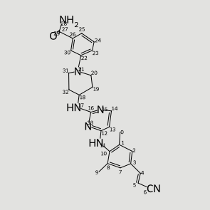 Cc1cc(C=CC#N)cc(C)c1Nc1ccnc(NC2CCN(c3cccc(C(N)=O)c3)CC2)n1